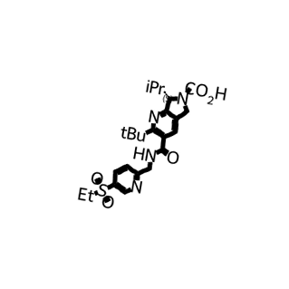 CCS(=O)(=O)c1ccc(CNC(=O)c2cc3c(nc2C(C)(C)C)[C@H](C(C)C)N(C(=O)O)C3)nc1